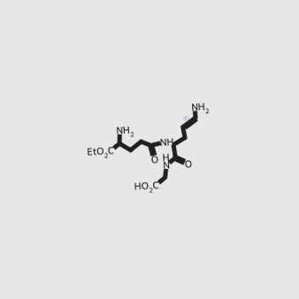 CCOC(=O)C(N)CCC(=O)NC(C/C=C/N)C(=O)NCC(=O)O